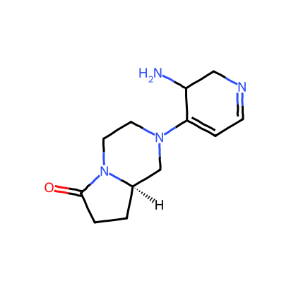 NC1CN=CC=C1N1CCN2C(=O)CC[C@@H]2C1